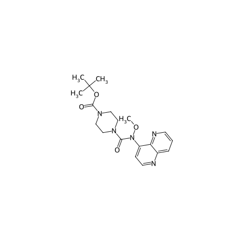 CON(C(=O)N1CCN(C(=O)OC(C)(C)C)CC1)c1ccnc2cccnc12